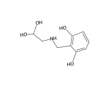 Oc1cccc(O)c1CNCC(O)O